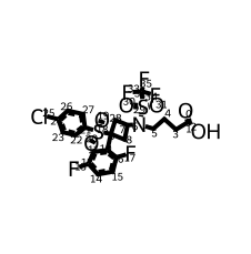 O=C(O)CCCN(C1CC(c2cc(F)ccc2F)(S(=O)(=O)c2ccc(Cl)cc2)C1)S(=O)(=O)C(F)(F)F